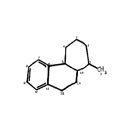 CC1CCCC2c3ccccc3CCC12